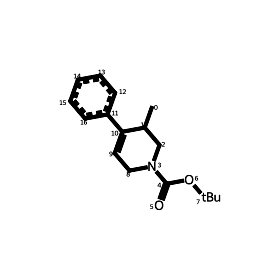 CC1CN(C(=O)OC(C)(C)C)CC=C1c1ccccc1